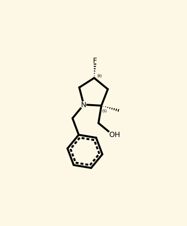 C[C@@]1(CO)C[C@@H](F)CN1Cc1ccccc1